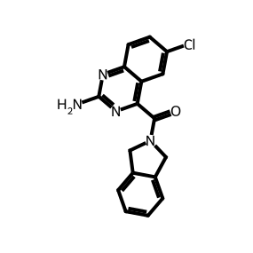 Nc1nc(C(=O)N2Cc3ccccc3C2)c2cc(Cl)ccc2n1